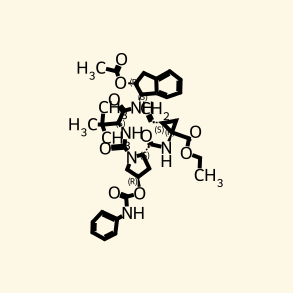 C=C[C@@H]1C[C@]1(NC(=O)[C@@H]1C[C@@H](OC(=O)Nc2ccccc2)CN1C(=O)N[C@H](C(=O)N[C@H]1c2ccccc2C[C@H]1OC(C)=O)C(C)(C)C)C(=O)OCC